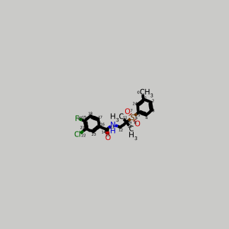 Cc1cccc(S(=O)(=O)C(C)(C)CNC(=O)c2ccc(F)c(Cl)c2)c1